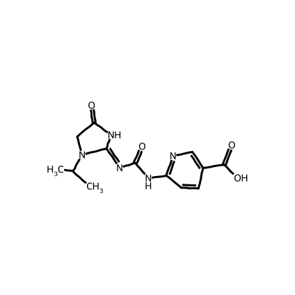 CC(C)N1CC(=O)NC1=NC(=O)Nc1ccc(C(=O)O)cn1